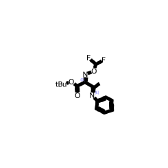 CC(=N\c1ccccc1)/C(=N\OC(F)F)C(=O)OC(C)(C)C